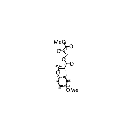 COC(=O)C(=O)COC(=O)CC(C)Oc1ccc(OC)cc1